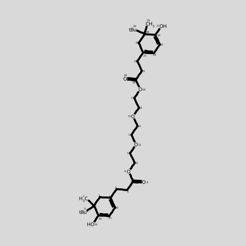 CC(C)(C)C1(C)CC(CCC(=O)OCCOCCOCCOC(=O)CCC2=CC=C(O)C(C)(C(C)(C)C)C2)=CC=C1O